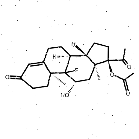 CC(=O)O[C@]1(C(C)=O)CC[C@H]2[C@@H]3CCC4=CC(=O)CC[C@]4(C)C3(F)[C@@H](O)C[C@@]21C